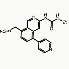 CCNC(=O)Nc1cc2c(-c3ccncc3)ccc(CNC(C)=O)c2cn1